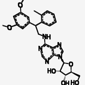 COc1cc(OC)cc(C(CNc2ncnc3c2ncn3[C@H]2O[C@@H](CO)[C@H](O)[C@@H]2O)c2ccccc2C)c1